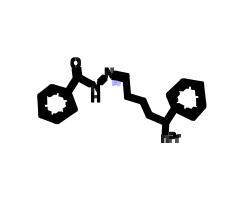 CCCC(CCC/C=N\NC(=O)c1ccccc1)c1ccccc1